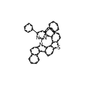 c1ccc(-c2cc(-c3ccccc3)nc(-n3c4ccc5ccccc5c4c4ccc5sc6ccc7ccccc7c6c5c43)n2)cc1